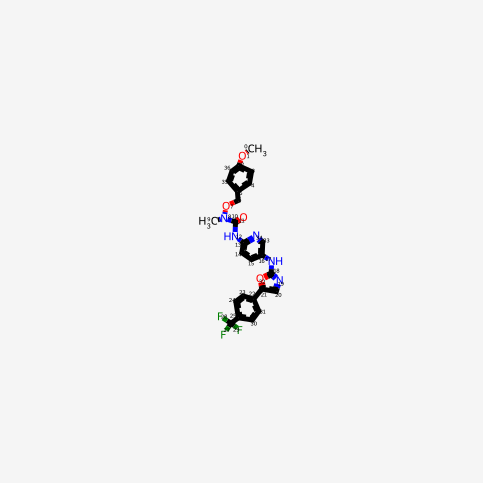 COc1ccc(CON(C)C(=O)Nc2ccc(Nc3ncc(-c4ccc(C(F)(F)F)cc4)o3)cn2)cc1